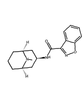 CN1[C@@H]2CCC[C@H]1C[C@@H](NC(=O)c1noc3ccccc13)C2